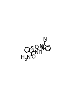 N#Cc1nn(CC(=O)Nc2sc3c(c2C(N)=O)CCCC3)c2ccccc12